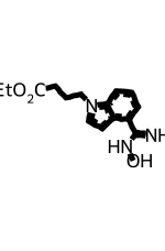 CCOC(=O)CCCn1ccc2c(C(=N)NO)cccc21